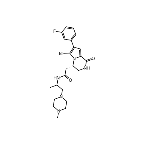 CC(CN1CCN(C)CC1)NC(=O)C[C@H]1CNC(=O)c2cc(-c3cccc(F)c3)c(Br)n21